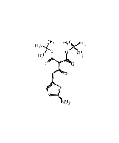 CC(C)(C)OC(=O)C(C(=O)Cc1cnc(N)s1)C(=O)OC(C)(C)C